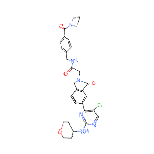 O=C(CN1Cc2ccc(-c3nc(NC4CCOCC4)ncc3Cl)cc2C1=O)NCc1ccc(C(=O)N2CCC2)cc1